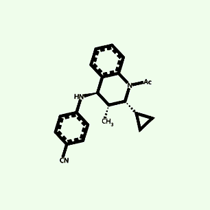 CC(=O)N1c2ccccc2[C@H](Nc2ccc(C#N)cc2)[C@@H](C)[C@H]1C1CC1